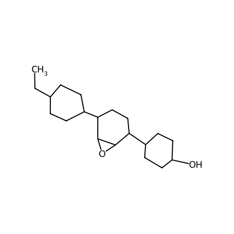 CCC1CCC(C2CCC(C3CCC(O)CC3)C3OC23)CC1